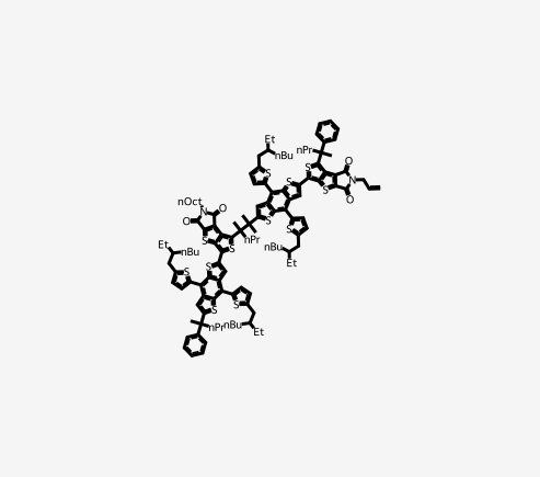 C=CCN1C(=O)c2sc3c(-c4cc5c(-c6ccc(CC(CC)CCCC)s6)c6sc(C(C)(C)C(C)(CCC)c7sc(-c8cc9c(-c%10ccc(CC(CC)CCCC)s%10)c%10sc(C(C)(CCC)c%11ccccc%11)cc%10c(-c%10ccc(CC(CC)CCCC)s%10)c9s8)c8sc9c(c78)C(=O)N(CCCCCCCC)C9=O)cc6c(-c6ccc(CC(CC)CCCC)s6)c5s4)sc(C(C)(CCC)c4ccccc4)c3c2C1=O